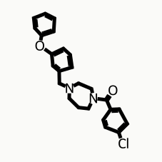 O=C(c1ccc(Cl)cc1)N1CCCN(Cc2cccc(Oc3ccccc3)c2)CC1